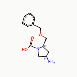 N[C@@H]1C[C@H](COCc2ccccc2)N(C(=O)O)C1